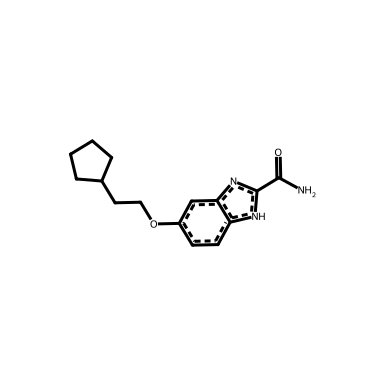 NC(=O)c1nc2cc(OCCC3CCCC3)ccc2[nH]1